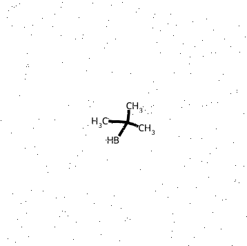 [BH]C(C)(C)C